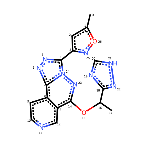 Cc1cc(-c2nnc3c4ccncc4c(OC(C)c4nc[nH]n4)nn23)no1